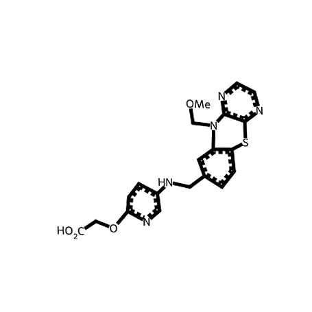 COCN1c2cc(CNc3ccc(OCC(=O)O)nc3)ccc2Sc2nccnc21